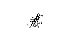 CC1(C)CC(=O)c2c(n(O)c3cc(Cl)c(Cl)cc3c2=O)C1